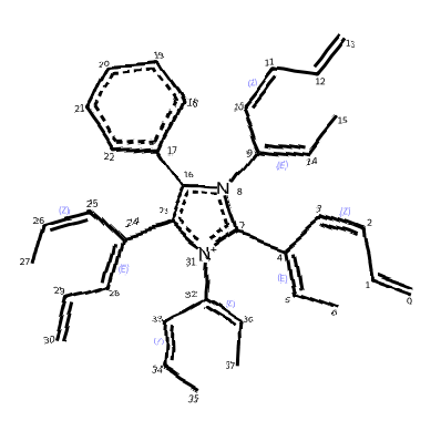 C=C/C=C\C(=C/C)c1n(C(/C=C\C=C)=C/C)c(-c2ccccc2)c(C(/C=C\C)=C/C=C)[n+]1C(/C=C\C)=C/C